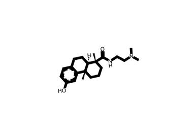 CN(C)CCNC(=O)[C@]1(C)CCC[C@]2(C)c3cc(O)ccc3CC[C@@H]12